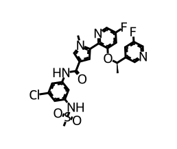 C[C@@H](Oc1cc(F)cnc1-c1cc(C(=O)Nc2cc(Cl)cc(NS(C)(=O)=O)c2)cn1C)c1cncc(F)c1